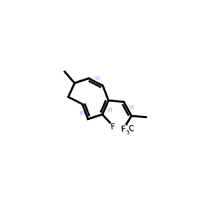 C/C(=C/C1=C(F)/C=C/CC(C)/C=C\1)C(F)(F)F